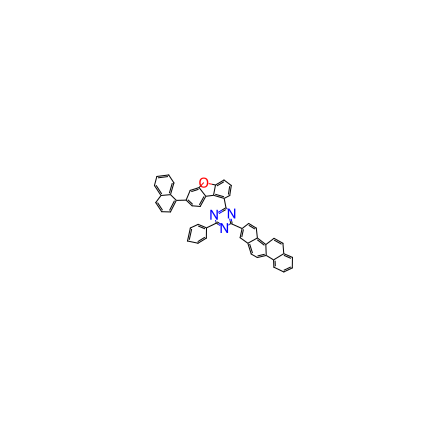 c1ccc(-c2nc(-c3ccc4c(ccc5c6ccccc6ccc45)c3)nc(-c3cccc4oc5cc(-c6cccc7ccccc67)ccc5c34)n2)cc1